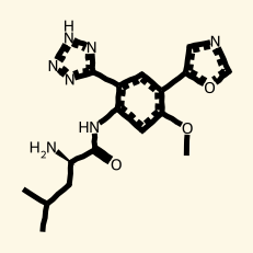 COc1cc(NC(=O)[C@H](N)CC(C)C)c(-c2nn[nH]n2)cc1-c1cnco1